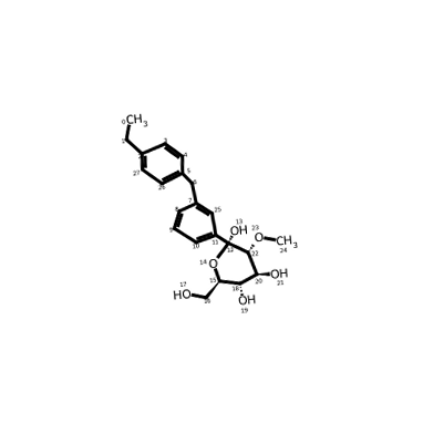 CCc1ccc(Cc2cccc([C@]3(O)O[C@H](CO)[C@@H](O)[C@H](O)[C@H]3OC)c2)cc1